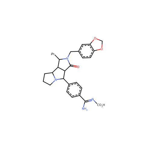 CC(C)C1C2C(C(=O)N1Cc1ccc3c(c1)OCO3)C(c1ccc(C(N)=NC(=O)O)cc1)N1CCCC21